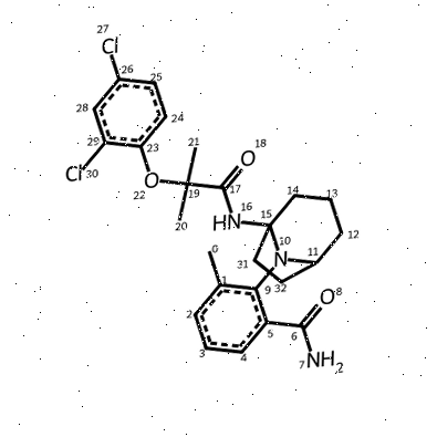 Cc1cccc(C(N)=O)c1N1C2CCCC1(NC(=O)C(C)(C)Oc1ccc(Cl)cc1Cl)CC2